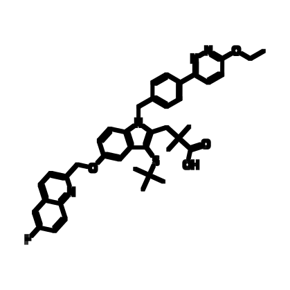 CCOc1ccc(-c2ccc(Cn3c(CC(C)(C)C(=O)O)c(SC(C)(C)C)c4cc(OCc5ccc6cc(F)ccc6n5)ccc43)cc2)nn1